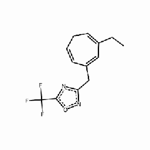 CCC1=CCC=CC(Cc2noc(C(F)(F)F)n2)=C1